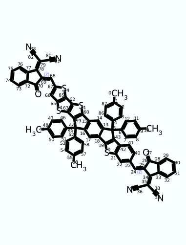 Cc1ccc(C2(c3ccc(C)cc3)c3cc4c(cc3-c3sc5cc(/C=C6\C(=O)c7ccccc7C6=C(C#N)C#N)ccc5c32)C(c2ccc(C)cc2)(c2ccc(C)cc2)c2c-4sc3c2sc2cc(/C=C4\C(=O)c5ccccc5C4=C(C#N)C#N)sc23)cc1